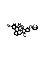 NC(=O)C(c1ccc(Br)cc1)C1c2ccccc2CC(C(=O)O)N1C(=O)c1cccc(Oc2ccccc2)c1